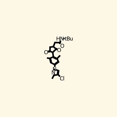 Cc1cc(-n2cc(Cl)c(C)n2)cc(C)c1C1C(=O)CC(CC(=O)NC(C)(C)C)C1=O